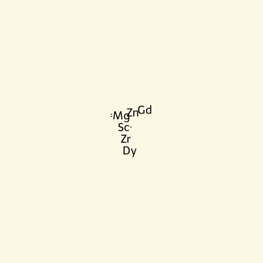 [Dy].[Gd].[Mg].[Sc].[Zn].[Zr]